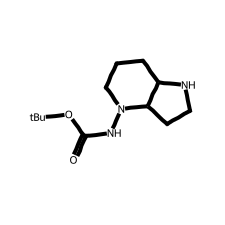 CC(C)(C)OC(=O)NN1CCCC2NCCC21